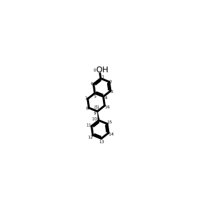 Oc1ccc2c(c1)CC[C@H](c1ccccc1)C2